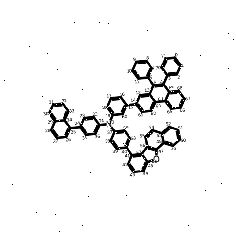 c1ccc(-c2c(-c3ccccc3)c3cc(-c4cccc(N(c5ccc(-c6cccc7ccccc67)cc5)c5ccc(-c6cccc7oc8c9ccccc9ccc8c67)cc5)c4)ccc3c3ccccc23)cc1